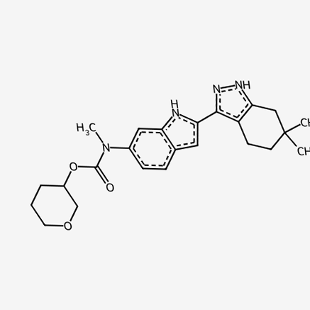 CN(C(=O)OC1CCCOC1)c1ccc2cc(-c3n[nH]c4c3CCC(C)(C)C4)[nH]c2c1